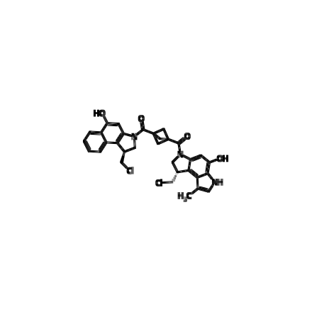 Cc1c[nH]c2c(O)cc3c(c12)[C@H](CCl)CN3C(=O)C12CC(C(=O)N3C[C@@H](CCl)c4c3cc(O)c3ccccc43)(C1)C2